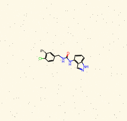 CC(C)c1cc(CNC(=O)Nc2cccc3[nH]ncc23)ccc1Cl